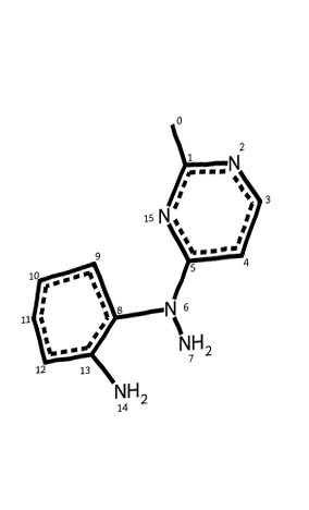 Cc1nccc(N(N)c2ccccc2N)n1